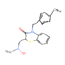 N#Cc1ccc(CN2C(=O)C(CN(O)C=O)Sc3ccccc32)cc1